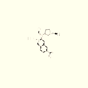 C[n+]1cc2ccc(C(N)=O)cc2cc1N(C=O)C1CCN(C#N)C1